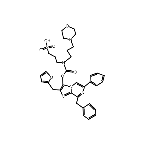 O=C(Oc1c(Cc2ccco2)nc2c(Cc3ccccc3)nc(-c3ccccc3)cn12)N(CCCN1CCOCC1)CCCS(=O)(=O)O